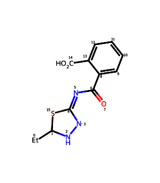 CCC1N[N]C(=NC(=O)c2ccccc2C(=O)O)S1